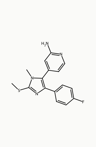 CSc1nc(-c2ccc(F)cc2)c(-c2ccnc(N)c2)n1C